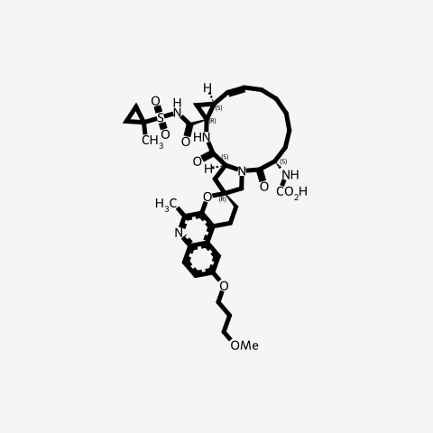 COCCCOc1ccc2nc(C)c3c(c2c1)CC[C@]1(C[C@H]2C(=O)N[C@]4(C(=O)NS(=O)(=O)C5(C)CC5)C[C@H]4C=CCCCCC[C@H](NC(=O)O)C(=O)N2C1)O3